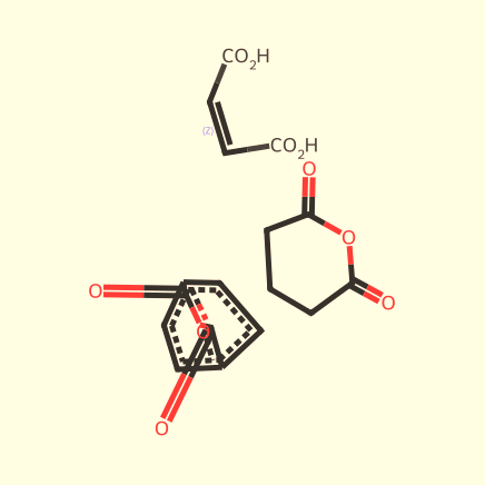 O=C(O)/C=C\C(=O)O.O=C1CCCC(=O)O1.O=c1oc(=O)c2ccc1cc2